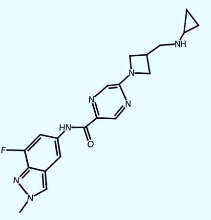 Cn1cc2cc(NC(=O)c3cnc(N4CC(CNC5CC5)C4)cn3)cc(F)c2n1